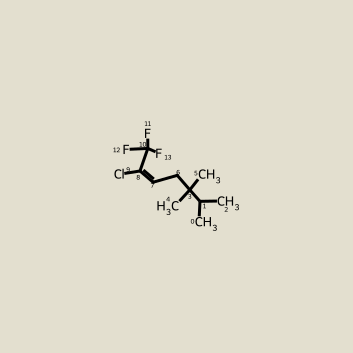 CC(C)C(C)(C)C/C=C(/Cl)C(F)(F)F